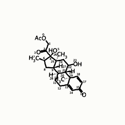 CC(=O)OCC(=O)[C@@]1(O)[C@H](C)C[C@H]2[C@@H]3CCC4=CC(=O)C=C[C@]4(C)[C@H]3C(O)C[C@@]21C